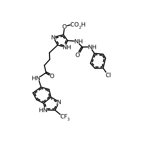 O=C(CCCc1nc(OC(=O)O)c(NC(=O)Nc2ccc(Cl)cc2)[nH]1)Nc1ccc2[nH]c(C(F)(F)F)nc2c1